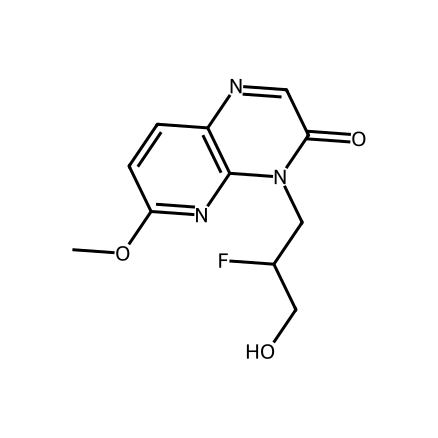 COc1ccc2ncc(=O)n(CC(F)CO)c2n1